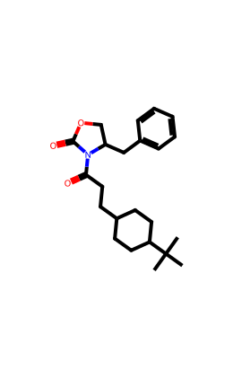 CC(C)(C)C1CCC(CCC(=O)N2C(=O)OCC2Cc2ccccc2)CC1